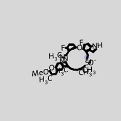 COC(=O)C(C)Cc1cccc(C2(C)CCCC(C)(C)C[S+]([O-])/C=C/c3c(c(F)cc4[nH]ccc34)Oc3ccc(F)c(c3)-c3nc2nn3C)c1